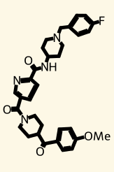 COc1ccc(C(=O)C2CCN(C(=O)c3ccc(C(=O)NC4CCN(Cc5ccc(F)cc5)CC4)nc3)CC2)cc1